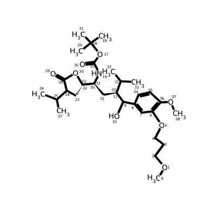 COCCCOc1cc(C(O)[C@@H](C[C@H](NC(=O)OC(C)(C)C)[C@@H]2CC(C(C)C)C(=O)O2)C(C)C)ccc1OC